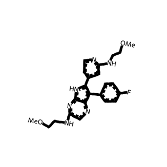 COCCNc1cc(-c2[nH]c3nc(NCCOC)cnc3c2-c2ccc(F)cc2)ccn1